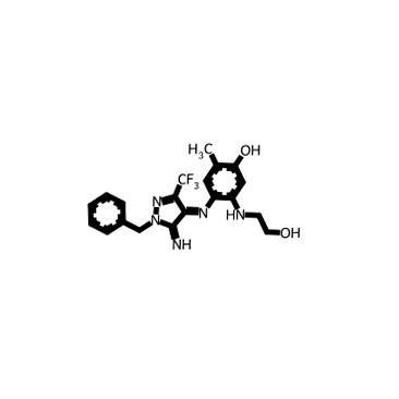 Cc1cc(N=C2C(=N)N(Cc3ccccc3)N=C2C(F)(F)F)c(NCCO)cc1O